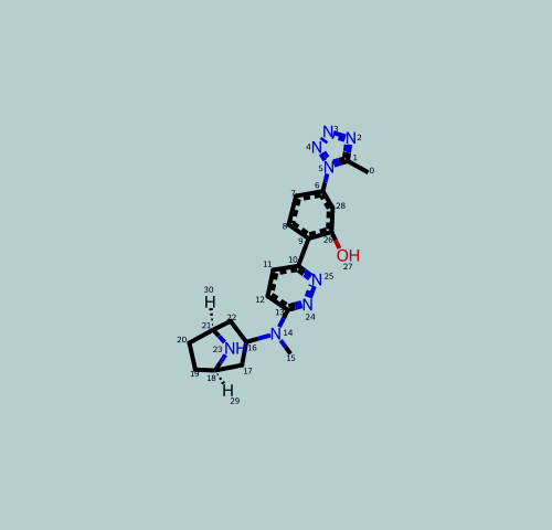 Cc1nnnn1-c1ccc(-c2ccc(N(C)C3C[C@H]4CC[C@@H](C3)N4)nn2)c(O)c1